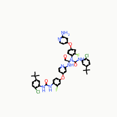 CC(C)(C)c1ccc(Cl)c(NC(=O)Nc2ccc(Oc3ccnc(NC(C=O)N(C(=O)Nc4cc(C(C)(C)C)ccc4Cl)c4ccc(Oc5ccnc(N)c5)cc4F)c3)cc2F)c1